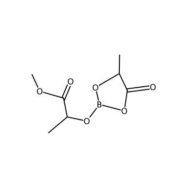 COC(=O)C(C)OB1OC(=O)C(C)O1